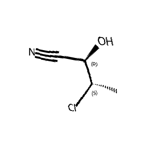 C[C@H](Cl)[C@H](O)C#N